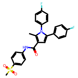 Cc1c(C(=O)Nc2ccc(S(C)(=O)=O)cc2)cc(-c2ccc(F)cc2)n1-c1ccc(F)cc1